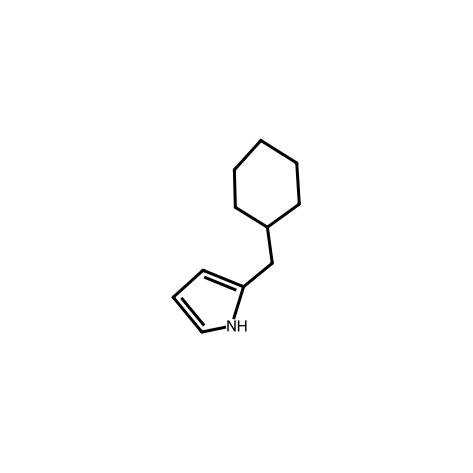 c1c[nH]c(CC2CCCCC2)c1